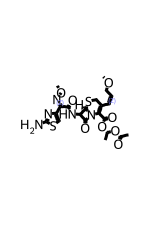 COC/C=C\C1=C(C(=O)OC(C)OC(C)=O)N2C(=O)C(NC(=O)/C(=N\OC)c3csc(N)n3)[C@@H]2SC1